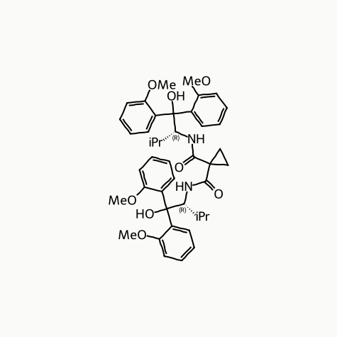 COc1ccccc1C(O)(c1ccccc1OC)[C@H](NC(=O)C1(C(=O)N[C@H](C(C)C)C(O)(c2ccccc2OC)c2ccccc2OC)CC1)C(C)C